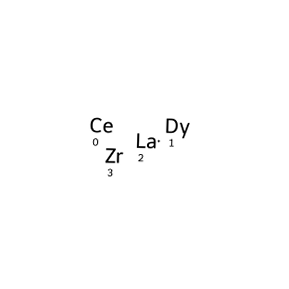 [Ce].[Dy].[La].[Zr]